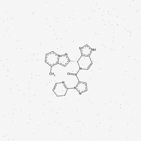 Cc1cccn2nc([C@@H]3c4nc[nH]c4C=CN3C(=O)c3ccnn3C3=NC=CCC3)cc12